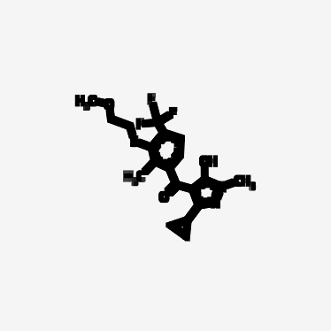 COCCSc1c(C(F)(F)F)ccc(C(=O)c2c(C3CC3)nn(C)c2O)c1C